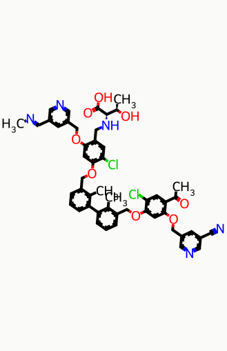 C/N=C/c1cncc(COc2cc(OCc3cccc(-c4cccc(COc5cc(OCc6cncc(C#N)c6)c(C(C)=O)cc5Cl)c4C)c3C)c(Cl)cc2CN[C@H](C(=O)O)[C@@H](C)O)c1